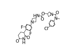 CN(C(=O)N1CC(OC(=O)NC2CN(c3cc(F)c(C4CCC(=O)NC4=O)c(F)c3)C2)C1)c1ccc(Cl)cc1